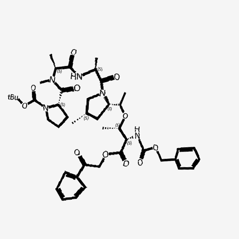 CC(O[C@@H](C)[C@H](NC(=O)OCc1ccccc1)C(=O)OCC(=O)c1ccccc1)[C@@H]1C[C@H](C)CN1C(=O)[C@H](C)NC(=O)[C@H](C)N(C)C(=O)[C@@H]1CCCN1C(=O)OC(C)(C)C